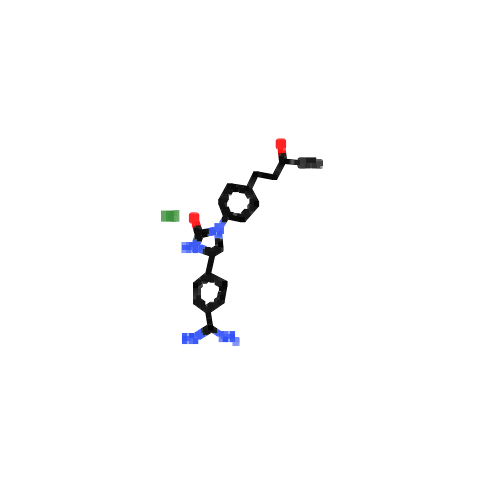 COC(=O)CCc1ccc(-n2cc(-c3ccc(C(=N)N)cc3)[nH]c2=O)cc1.Cl